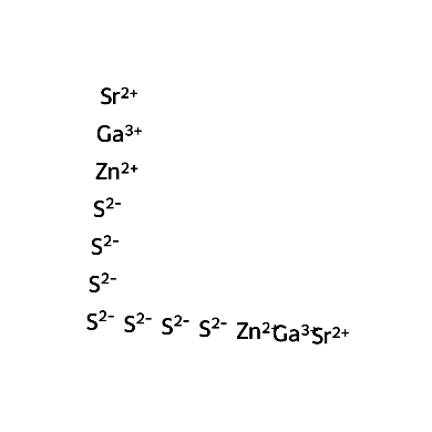 [Ga+3].[Ga+3].[S-2].[S-2].[S-2].[S-2].[S-2].[S-2].[S-2].[Sr+2].[Sr+2].[Zn+2].[Zn+2]